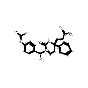 C[C@@H](c1ccc(OC(F)F)cc1)N1CCC(CCC(N)=O)(c2ccccc2)OC1=O